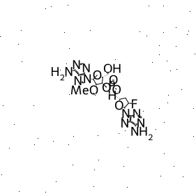 CO[C@@H]1[C@H](O[PH](=O)OC[C@@H]2C[C@@H](F)[C@H](n3cnc4c(N)ncnc43)O2)[C@@H](CO)O[C@H]1n1cnc2c(N)ncnc21